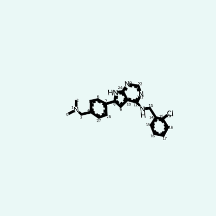 CN(C)Cc1ccc(-c2cc3c(NCc4ccccc4Cl)ncnc3[nH]2)cc1